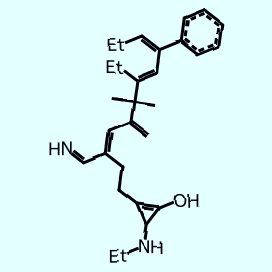 C=C(/C=C(/C=N)CCC1=C(O)C1NCC)C(C)(C)/C(=C/C(=C\CC)c1ccccc1)CC